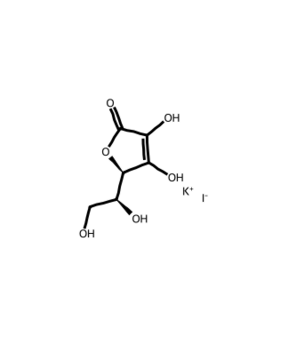 O=C1O[C@H]([C@@H](O)CO)C(O)=C1O.[I-].[K+]